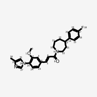 COc1cc(/C=C/C(=O)N2CCCC(c3ccc(F)cc3)CC2)ccc1-n1cnc(C)c1